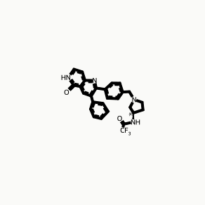 O=C(N[C@@H]1CCN(Cc2ccc(-c3nc4cc[nH]c(=O)c4cc3-c3ccccc3)cc2)C1)C(F)(F)F